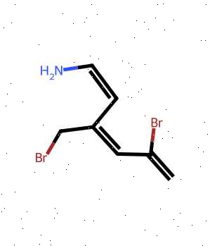 C=C(Br)/C=C(\C=C/N)CBr